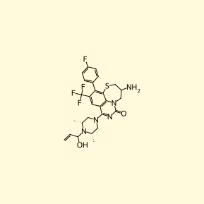 C=CC(O)N1[C@H](C)CN(c2nc(=O)n3c4c(c(-c5ccc(F)cc5)c(C(F)(F)F)cc24)SCC(N)C3)C[C@@H]1C